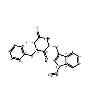 C[C@@H]1C(=O)N[C@H](Cc2cn(C=O)c3ccccc23)C(=O)N1Cc1ccccc1